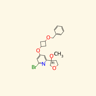 CO[C@@]1(c2cc(OC3CC(OCc4ccccc4)C3)cc(Br)n2)CCOC1